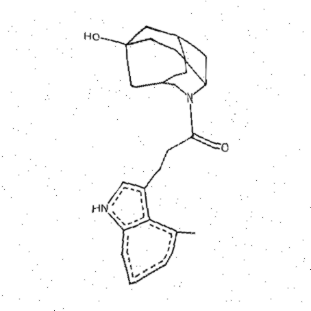 Cc1cccc2[nH]cc(CCC(=O)N3C4CC5CC3CC(O)(C5)C4)c12